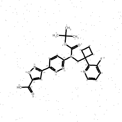 CC(C)(C)OC(=O)N(CC1(c2ncccc2F)CCC1)c1ccc(-c2cc(C(=O)O)on2)nn1